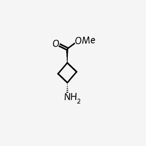 COC(=O)[C@H]1C[C@H](N)C1